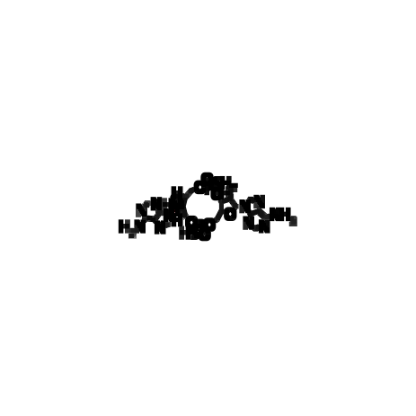 Nc1ncnc2c1ncn2[C@@H]1OC2CO[P@](=O)(S)O[C@@H]3[C@H](O)[C@@H](CO[P@@](=O)(S)O[C@H]2[C@H]1F)O[C@H]3n1cnc2c(N)ncnc21